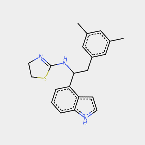 Cc1cc(C)cc(CC(NC2=NCCS2)c2cccc3[nH]ccc23)c1